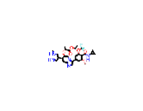 CCOC(=O)C(C)Oc1cn2c(-c3cc(OC)c(C(=O)NC4CC4)c(OC(F)F)c3)cnc2cc1/C(C=N)=C/NC